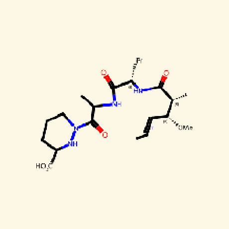 C/C=C/[C@@H](OC)[C@@H](C)C(=O)N[C@H](C(=O)NC(C)C(=O)N1CCCC(C(=O)O)N1)C(C)C